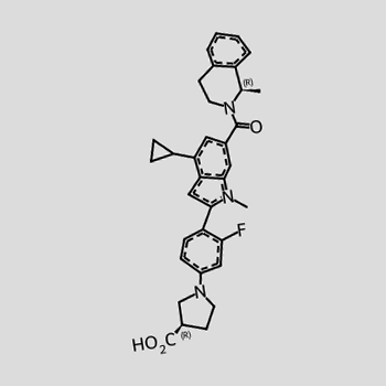 C[C@@H]1c2ccccc2CCN1C(=O)c1cc(C2CC2)c2cc(-c3ccc(N4CC[C@@H](C(=O)O)C4)cc3F)n(C)c2c1